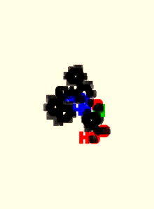 C[C@@H](NCC1CN(C(=O)Nc2ccc(C(=O)O)cc2Cl)CCC1c1ccccc1)c1cccc2ccccc12